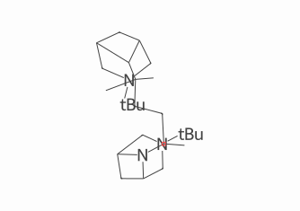 CC(CCC(C)(C)C1C2CC1CN(C(C)(C)C)C2)N1C2CC1CN(C(C)(C)C)C2